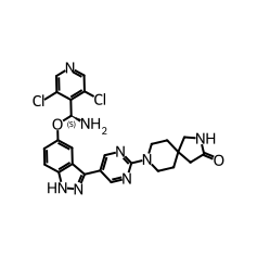 N[C@@H](Oc1ccc2[nH]nc(-c3cnc(N4CCC5(CC4)CNC(=O)C5)nc3)c2c1)c1c(Cl)cncc1Cl